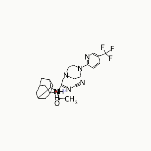 CC(=O)NC12CC3CC(C1)C(N/C(CN1CCN(c4ccc(C(F)(F)F)cn4)CC1)=N/C#N)C(C3)C2